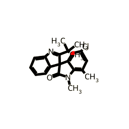 Cc1cc(Cl)cc2c1N(C)C(=O)C21C(C(C)(C)C)=Nc2ccccc21